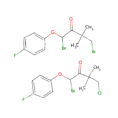 CC(C)(CBr)C(=O)C(Br)Oc1ccc(F)cc1.CC(C)(CCl)C(=O)C(Br)Oc1ccc(F)cc1